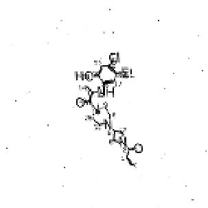 C=CC(=O)N1CC(N2CCN(C(=O)C(C)Nc3cc(CC)c(Cl)cc3O)CC2)C1